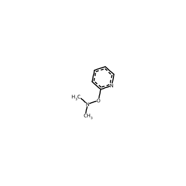 CN(C)Oc1ccccn1